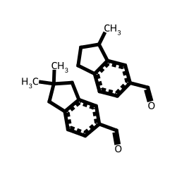 CC1(C)Cc2ccc(C=O)cc2C1.CC1CCc2ccc(C=O)cc21